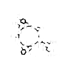 CCCCCCC[C@@H](O)CC(=O)N[C@H](CCN)C(=O)N[C@H]1CCNC(=O)[C@H](CC(C)C)NC(=O)[C@H](Cc2ccc(N)cc2)NC(=O)[C@H](CCN)NC(=O)[C@H](CC(C)C)NC(=O)[C@@H](Cc2ccccc2)NC(=O)[C@H](CCN)NC1=O